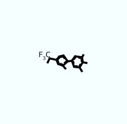 Cc1cc(C(C)C(F)(F)F)ccc1-c1cc(C)c(C)c(C)c1